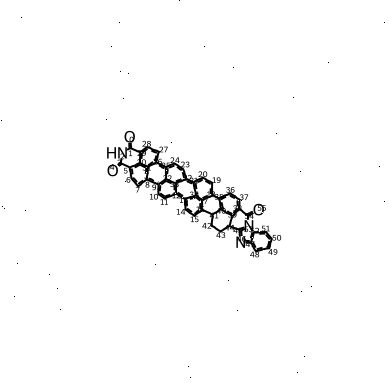 O=C1NC(=O)c2ccc3c4ccc5c6ccc7c8c(ccc(c9ccc(c%10ccc1c2c%103)c4c95)c86)-c1ccc2c3c1C7CCC3c1nc3ccccc3n1C2=O